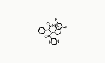 NC(=O)C(c1ccccc1)N(C(=O)c1cnccn1)[C@@H]1CCc2c(F)cc(F)cc21